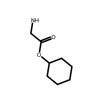 [NH]CC(=O)OC1CCCCC1